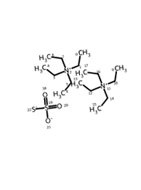 CC[N+](CC)(CC)CC.CC[N+](CC)(CC)CC.O=S(=O)([O-])[S-]